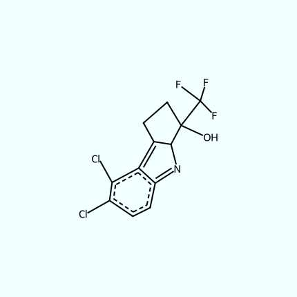 OC1(C(F)(F)F)CCC2=c3c(Cl)c(Cl)ccc3=NC21